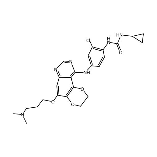 CN(C)CCCOc1cc2ncnc(Nc3ccc(NC(=O)NC4CC4)c(Cl)c3)c2c2c1OCCO2